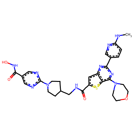 CNc1ccc(-c2nc(N3CCOCC3)c3sc(C(=O)NCC4CCN(c5ncc(C(=O)NO)cn5)CC4)cc3n2)cn1